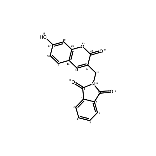 O=C1c2ccccc2C(=O)N1Cc1cc2ccc(O)cc2oc1=O